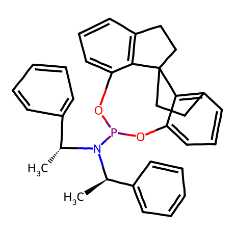 C[C@H](c1ccccc1)N([C@H](C)c1ccccc1)P1Oc2cccc3c2C2(CC3)CCc3cccc(c32)O1